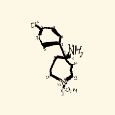 NC1(c2ccc(Cl)nc2)CCN(C(=O)O)CC1